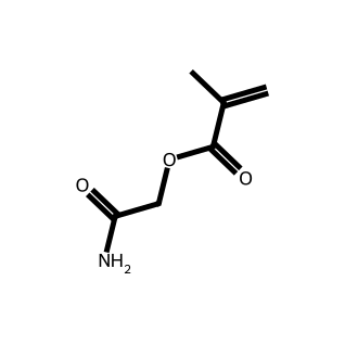 C=C(C)C(=O)OCC(N)=O